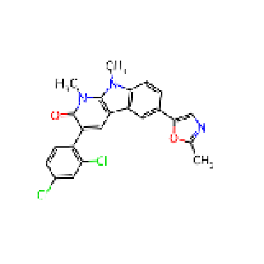 Cc1ncc(-c2ccc3c(c2)c2cc(-c4ccc(Cl)cc4Cl)c(=O)n(C)c2n3C)o1